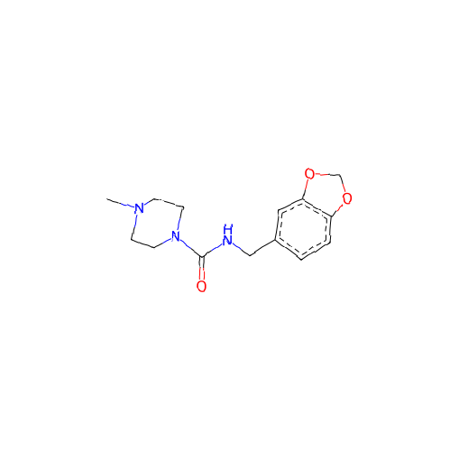 CN1CCN(C(=O)NCc2ccc3c(c2)OCO3)CC1